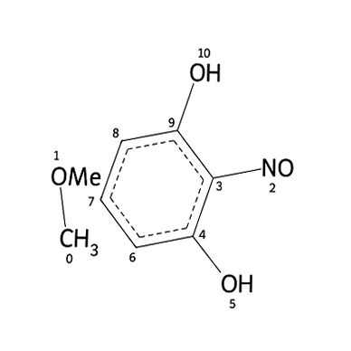 COC.O=Nc1c(O)cccc1O